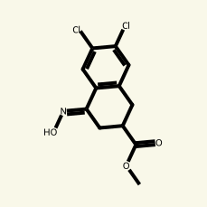 COC(=O)C1CC(=NO)c2cc(Cl)c(Cl)cc2C1